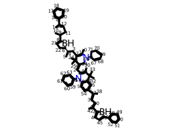 CC1=C(CC(C)[C@@H]2BC(C(C)C/C=C(\C)c3ccccc3)=CC2)C(C)(C)/C(=C/C2=C(C)C(C)(C)c3cc(/C(C)=C/C=C(\C)C4=CC=C(c5ccccc5)B4)ccc3N2c2ccccc2)CN1[C@H]1C=CC=CC1